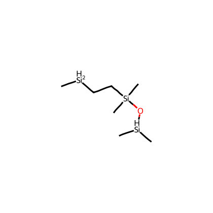 C[SiH2]CC[Si](C)(C)O[SiH](C)C